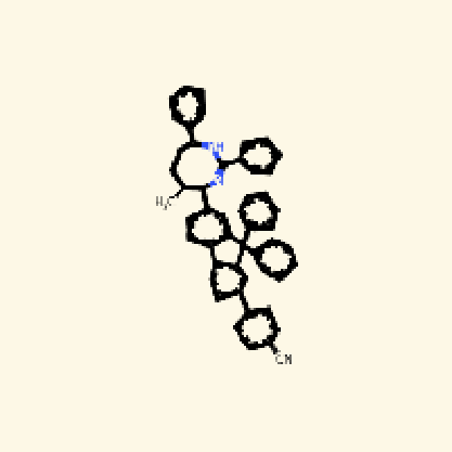 C[C@H]1CCC(c2ccccc2)N/C(c2ccccc2)=N\C1c1ccc2c(c1)C(c1ccccc1)(c1ccccc1)c1cc(-c3ccc(C#N)cc3)ccc1-2